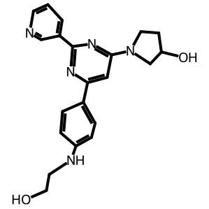 OCCNc1ccc(-c2cc(N3CCC(O)C3)nc(-c3cccnc3)n2)cc1